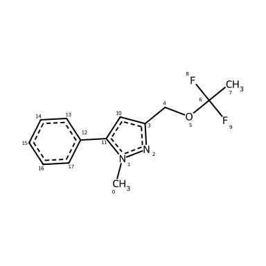 Cn1nc(COC(C)(F)F)cc1-c1ccccc1